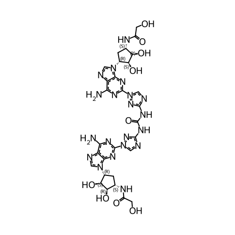 Nc1nc(-n2cnc(NC(=O)Nc3ncn(-c4nc(N)c5ncn([C@@H]6C[C@H](NC(=O)CO)[C@@H](O)[C@H]6O)c5n4)n3)n2)nc2c1ncn2[C@@H]1C[C@H](NC(=O)CO)[C@@H](O)[C@H]1O